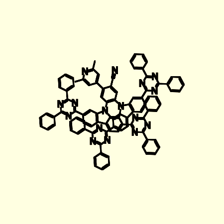 Cc1cc(-c2cc(-n3c4cc(-c5nc(-c6ccccc6)nc(-c6ccccc6)n5)ccc4c4ccc(-c5nc(-c6ccccc6)nc(-c6ccccc6)n5)cc43)c(-n3c4cc(-c5nc(-c6ccccc6)nc(-c6ccccc6)n5)ccc4c4ccc(-c5nc(-c6ccccc6)nc(-c6ccccc6)n5)cc43)cc2C#N)cc(C)n1